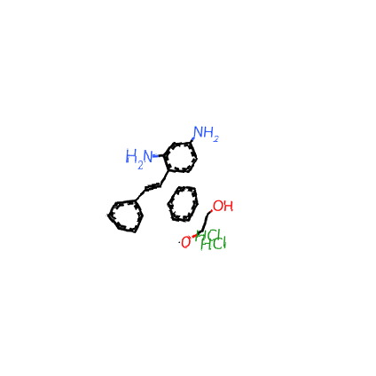 Cl.Cl.Nc1ccc(C=Cc2ccccc2)c(N)c1.[O]CCO.c1ccccc1